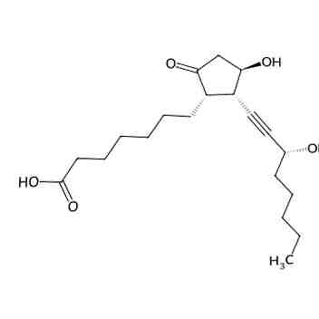 CCCCC[C@@H](O)C#C[C@H]1[C@H](O)CC(=O)[C@H]1CCCCCCC(=O)O